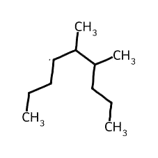 CCC[CH]C(C)C(C)CCC